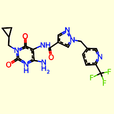 Nc1[nH]c(=O)n(CC2CC2)c(=O)c1NC(=O)c1cnn(Cc2ccc(C(F)(F)F)nc2)c1